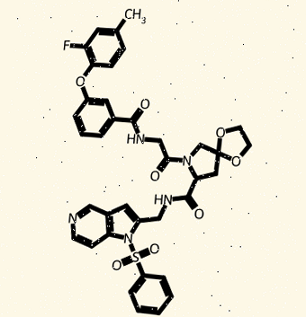 Cc1ccc(Oc2cccc(C(=O)NCC(=O)N3CC4(CC3C(=O)NCc3cc5cnccc5n3S(=O)(=O)c3ccccc3)OCCO4)c2)c(F)c1